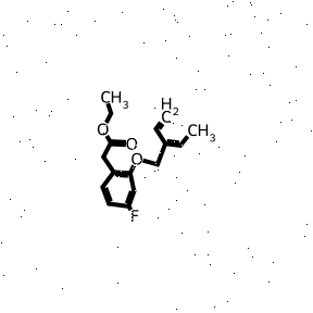 C=C/C(=C\C)COc1cc(F)ccc1CC(=O)OCC